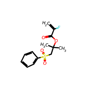 C=C(F)C(=O)OC(C)(C)CS(=O)(=O)c1ccccc1